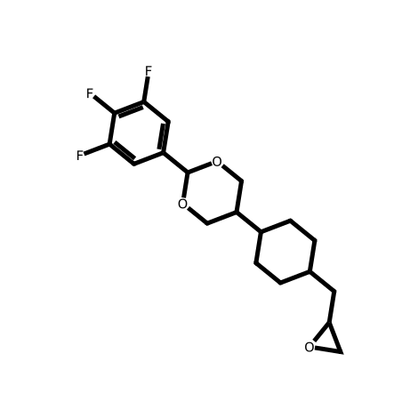 Fc1cc(C2OCC(C3CCC(CC4CO4)CC3)CO2)cc(F)c1F